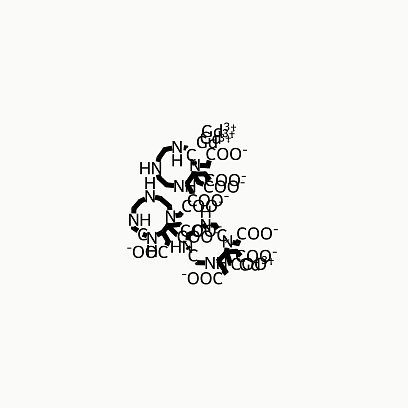 O=C([O-])CC1NCCNCCNCCN(CC(=O)[O-])C1(CC(=O)[O-])CC(=O)[O-].O=C([O-])CC1NCCNCCNCCN(CC(=O)[O-])C1(CC(=O)[O-])CC(=O)[O-].O=C([O-])CC1NCCNCCNCCN(CC(=O)[O-])C1(CC(=O)[O-])CC(=O)[O-].[Gd+3].[Gd+3].[Gd+3].[Gd+3]